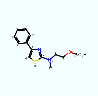 CN(CCOS(=O)(=O)O)c1nc(-c2ccccc2)cs1